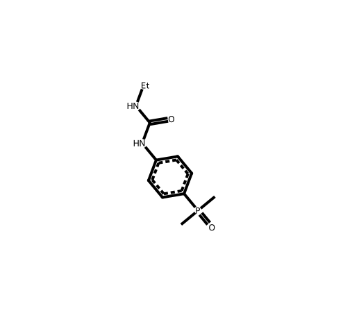 CCNC(=O)Nc1ccc(P(C)(C)=O)cc1